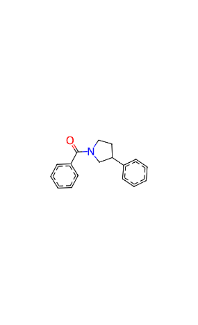 O=C(c1ccccc1)N1CCC(c2ccccc2)C1